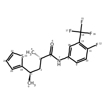 C[C@H](C[C@H](C)C(=O)Nc1ccc(F)c(C(F)(F)F)c1)c1cccs1